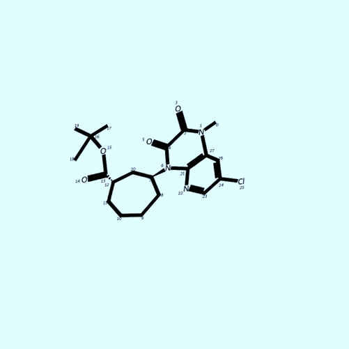 Cn1c(=O)c(=O)n([C@H]2CCCC[C@H](C(=O)OC(C)(C)C)C2)c2ncc(Cl)cc21